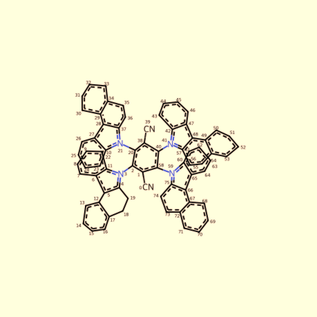 N#Cc1c(-n2c3c(c4ccccc42)-c2ccccc2CC3)c(-n2c3ccccc3c3c4ccccc4ccc32)c(C#N)c(-n2c3ccccc3c3c4ccccc4ccc32)c1-n1c2ccccc2c2c3ccccc3ccc21